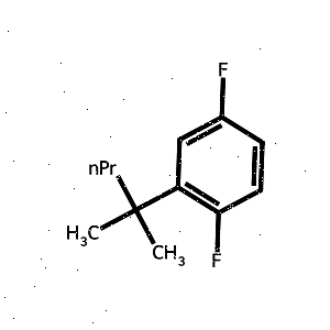 CCCC(C)(C)c1cc(F)ccc1F